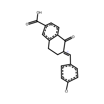 O=C(O)c1ccc2c(c1)CC/C(=C\c1ccc(Cl)cc1)C2=O